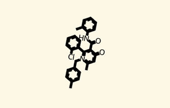 Cc1ccc(Cn2c(C)cc(=O)c(C(=O)Nc3ccccc3C)c2-c2ccccc2Cl)cc1